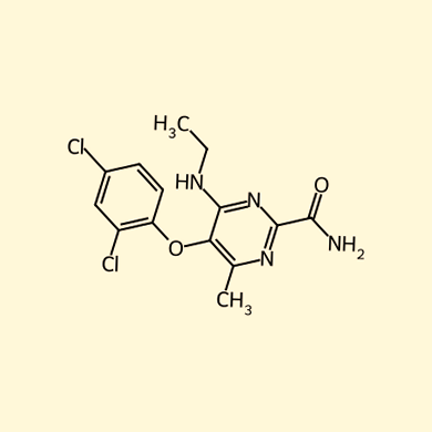 CCNc1nc(C(N)=O)nc(C)c1Oc1ccc(Cl)cc1Cl